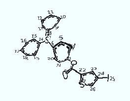 O=C(Oc1ccc([SH](c2ccccc2)c2ccccc2)cc1)c1cc(I)cs1